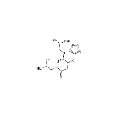 CCCCC(CC)COC(=O)CC(Sc1nncs1)C(=O)OCC(CC)CCCC